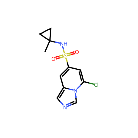 CC1(NS(=O)(=O)c2cc(Cl)n3cncc3c2)CC1